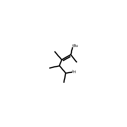 [2H]C(C)C(C)/C(C)=C(\C)C(C)(C)C